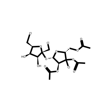 CC(=O)OC[C@H]1O[C@@H](O[C@@]2(CCl)O[C@H](CCl)[C@H](O)[C@@H]2O)[C@H](OC(C)=O)C1(Cl)OC(C)=O